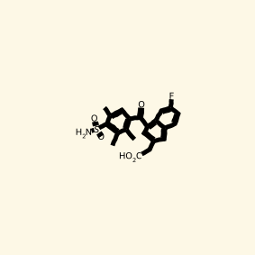 Cc1cc(C(=O)c2cc(CC(=O)O)cc3ccc(F)cc23)c(C)c(C)c1S(N)(=O)=O